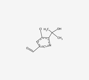 CC(C)(O)c1ncc(C=O)cc1Cl